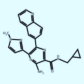 Cn1ccc(-c2nc(N)c(C(=O)NCC3CC3)nc2-c2ccc3ncccc3c2)n1